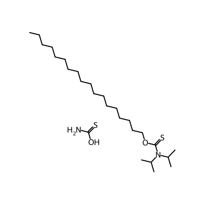 CCCCCCCCCCCCCCCCCCOC(=S)N(C(C)C)C(C)C.NC(O)=S